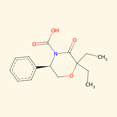 CCC1(CC)OC[C@@H](c2ccccc2)N(C(=O)O)C1=O